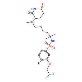 CN(CCCCC(C)(C)NS(=O)(=O)c1ccc(F)c(OCC(F)F)c1)C1CCC(=O)NC1=O